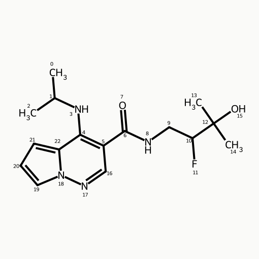 CC(C)Nc1c(C(=O)NCC(F)C(C)(C)O)cnn2cccc12